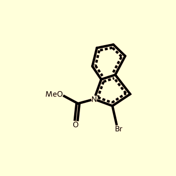 COC(=O)n1c(Br)cc2ccccc21